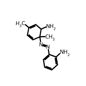 CC1=CC(N)C(C)(/N=N/c2ccccc2N)C=C1